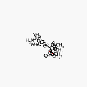 C=C(C)[C@]12C[C@@H](C)[C@@]34O[C@](Cc5ccccc5)(O[C@@H]1[C@@H]3C=C(COC(=O)Cc1ccc(OC(=O)N(CCN)CCN)c(OC)c1)C[C@]1(O)C(=O)C(C)=C[C@@H]41)O2